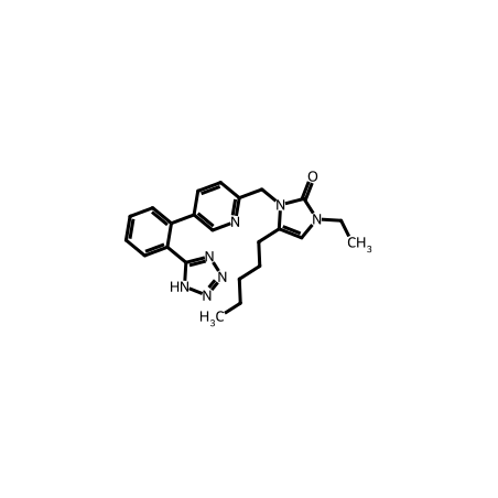 CCCCCc1cn(CC)c(=O)n1Cc1ccc(-c2ccccc2-c2nnn[nH]2)cn1